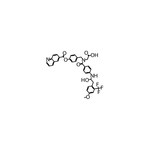 COc1ccc(CC(O)Nc2ccc(C(=O)N(CC(=O)O)Cc3ccc(OC(=O)c4ccc5ncccc5c4)cc3)cc2)c(C(F)(F)F)c1